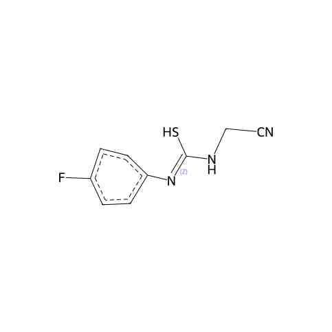 N#CCN/C(S)=N/c1ccc(F)cc1